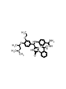 CCOc1cc(C(Nc2ccc(C(=N)N)cc2)c2nn(-c3ccccc3C(=O)O)c(=O)[nH]2)ccc1OC(C)CN(C)C